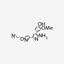 COc1cc(-c2cc(-c3ccc(OCCCN(C)C)nc3)cnc2N)ccc1O